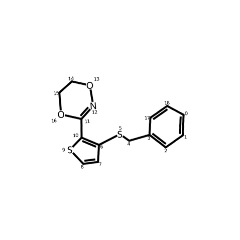 c1ccc(CSc2ccsc2C2=NOCCO2)cc1